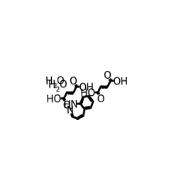 C1=Cc2ccccc2NN=C1.O.O.O=C(O)/C=C/C(=O)O.O=C(O)/C=C/C(=O)O